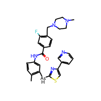 Cc1ccc(NC(=O)c2ccc(CN3CCN(C)CC3)c(F)c2)cc1[AsH]c1nc(-c2cccnc2)cs1